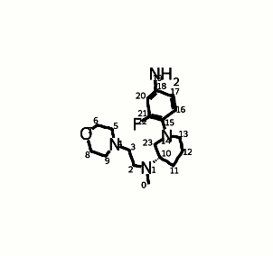 CN(CCN1CCOCC1)[C@H]1CCCN(c2ccc(N)cc2F)C1